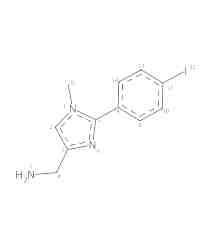 Cn1cc(CN)nc1-c1ccc(I)cc1